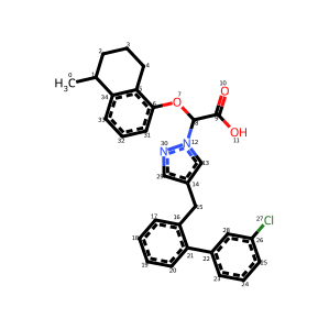 CC1CCCc2c(OC(C(=O)O)n3cc(Cc4ccccc4-c4cccc(Cl)c4)cn3)cccc21